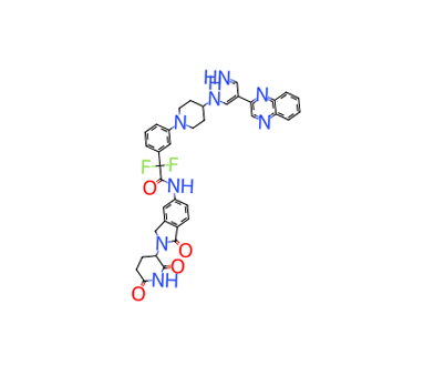 N=C/C(=C\NC1CCN(c2cccc(C(F)(F)C(=O)Nc3ccc4c(c3)CN(C3CCC(=O)NC3=O)C4=O)c2)CC1)c1cnc2ccccc2n1